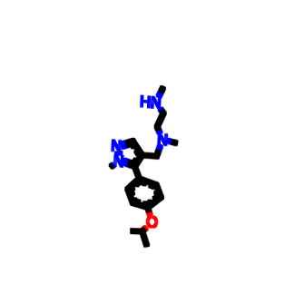 CNCCN(C)Cc1cnn(C)c1-c1ccc(OC(C)C)cc1